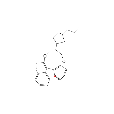 CCCC1CCC(C2COc3ccc4ccccc4c3-c3c(ccc4ccccc34)OC2)C1